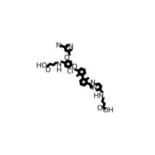 Cc1c(COc2cc(OCc3cncc(C#N)c3)c(CNCCCC(=O)O)cc2Cl)cccc1-c1cccc(-c2cn3cc(CNCCCC(=O)O)ccc3n2)c1C